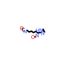 O=C=NCCCCCC(N=C=O)c1ncc[nH]1